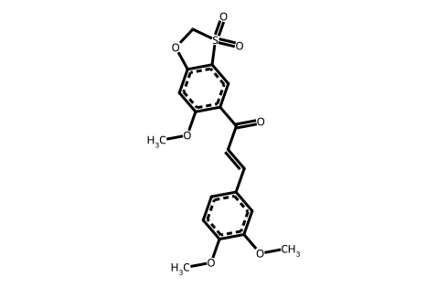 COc1ccc(C=CC(=O)c2cc3c(cc2OC)OCS3(=O)=O)cc1OC